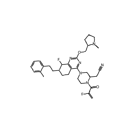 C=C(F)C(=O)N1CCN(c2nc(OCC3CCCN3C)nc3c2CCC(CCc2ccccc2C)C3F)CC1CC#N